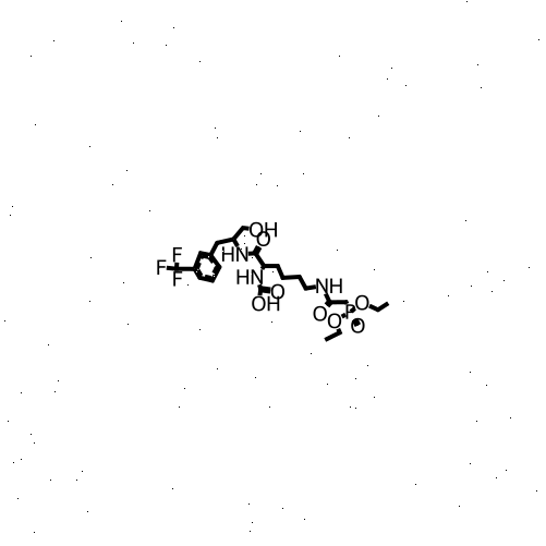 CCOP(=O)(CC(=O)NCCCCC(NC(=O)O)C(=O)NC(CO)Cc1cccc(C(F)(F)F)c1)OCC